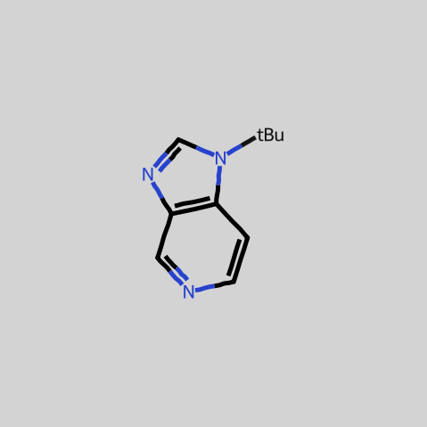 CC(C)(C)n1cnc2cnccc21